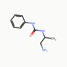 CC(CN)NC(=O)Nc1ccccc1